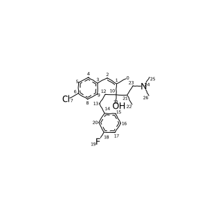 CC(=Cc1ccc(Cl)cc1)C(O)(CCc1cccc(F)c1)C(C)CN(C)C